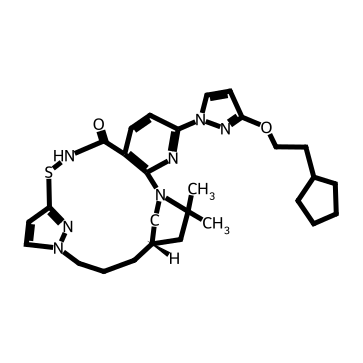 CC1(C)C[C@@H]2CCCn3ccc(n3)SNC(=O)c3ccc(-n4ccc(OCCC5CCCC5)n4)nc3N1C2